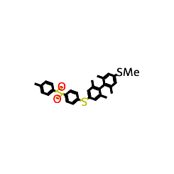 CSc1cc(C)c(-c2c(C)cc(Sc3ccc(S(=O)(=O)c4ccc(C)cc4)cc3)cc2C)c(C)c1